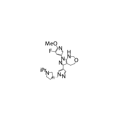 COc1ncc(-n2nc(-c3cnn(C[C@@H]4CCN(C(C)C)C4)c3)c3c2NCOCC3)cc1F